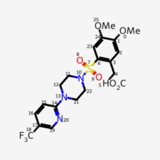 COc1cc(CC(=O)O)c(S(=O)(=O)N2CCN(c3ccc(C(F)(F)F)cn3)CC2)cc1OC